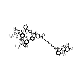 Cc1cc(F)c(Nc2nc(-c3ccc4c(c3)N(C3CC(N5CCCCC5)C3)C(=O)C43CCN(C(=O)CCCCCCCCCNc4cccc5c4C(=O)N(C4CCC(=O)NC4=O)C5=O)CC3)cc3ncn(C(C)C)c23)cc1C(=O)NC(C)C